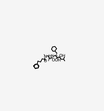 CC(C)C[C@H](O)[C@H](O)[C@H](CC1CCCCC1)NC(=O)[C@@H](C)CN(C)C(=O)CCCc1ccccc1